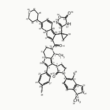 CC1c2c(-n3ccn(-c4ccc5c(cnn5C)c4F)c3=O)c(-c3ccc(F)cc3)nn2CCN1C(=O)c1cn2cc(C3CCOCC3)ccc2c1C1(c2noc(=O)[nH]2)CC1